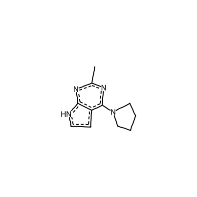 Cc1nc(N2CCCC2)c2cc[nH]c2n1